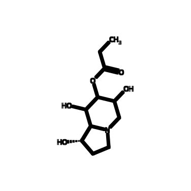 CCC(=O)OC1C(O)CN2CC[C@H](O)C2C1O